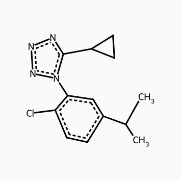 CC(C)c1ccc(Cl)c(-n2nnnc2C2CC2)c1